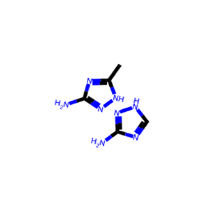 Cc1nc(N)n[nH]1.Nc1nc[nH]n1